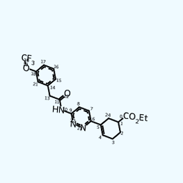 CCOC(=O)C1CCC=C(c2ccc(NC(=O)Cc3cccc(OC(F)(F)F)c3)nn2)C1